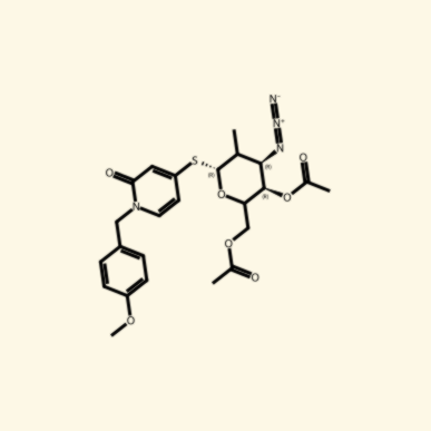 COc1ccc(Cn2ccc(S[C@H]3OC(COC(C)=O)[C@H](OC(C)=O)[C@H](N=[N+]=[N-])C3C)cc2=O)cc1